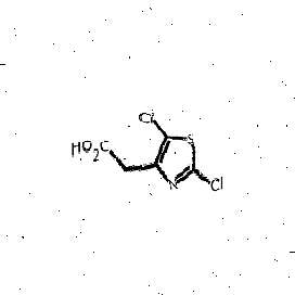 O=C(O)Cc1nc(Cl)sc1Cl